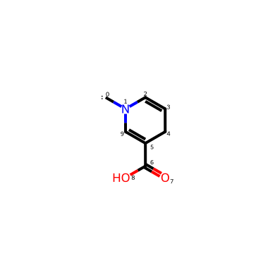 [CH]N1C=CCC(C(=O)O)=C1